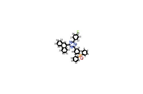 O=P(c1ccccc1)(c1ccccc1)c1ccc(-c2nc(-c3ccc(F)cc3)nc(-c3cc4ccccc4c4ccccc34)n2)cc1